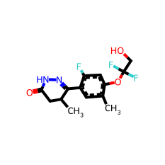 Cc1cc(C2=NNC(=O)CC2C)c(F)cc1OC(F)(F)CO